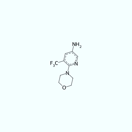 Nc1cnc(N2CCOCC2)c(C(F)(F)F)c1